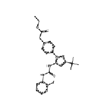 CCOC(=O)Cc1ccc(-n2nc(C(C)(C)C)cc2NC(=O)Nc2ccccc2F)cc1